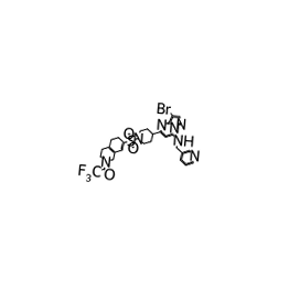 O=C(N1CCC2=C(C=C(S(=O)(=O)N3CCC(c4cc(NCc5cccnc5)n5ncc(Br)c5n4)CC3)CC2)C1)C(F)(F)F